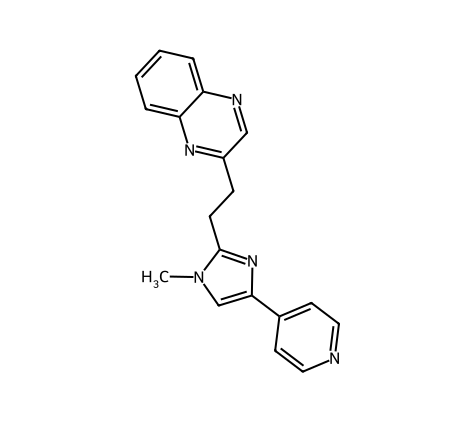 Cn1cc(-c2ccncc2)nc1CCc1cnc2ccccc2n1